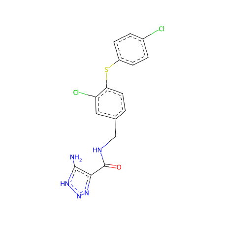 Nc1[nH]nnc1C(=O)NCc1ccc(Sc2ccc(Cl)cc2)c(Cl)c1